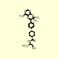 CC1(C)Oc2ncnc(N)c2N=C1c1ccc([C@H]2CC[C@H](C(=O)NC(CO)C(=O)O)CC2)cc1